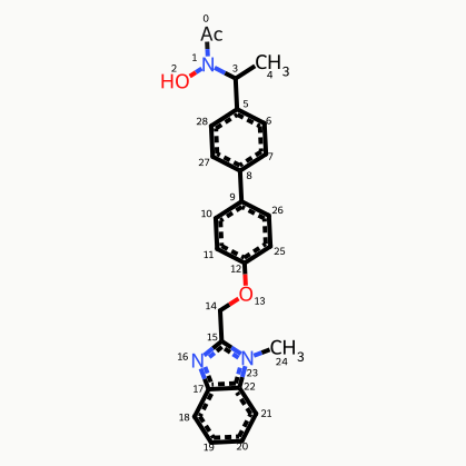 CC(=O)N(O)C(C)c1ccc(-c2ccc(OCc3nc4ccccc4n3C)cc2)cc1